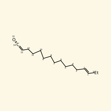 CCC=CCCCCCCCCCCC=C=O